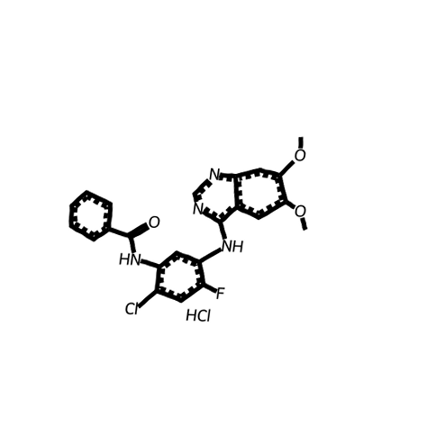 COc1cc2ncnc(Nc3cc(NC(=O)c4ccccc4)c(Cl)cc3F)c2cc1OC.Cl